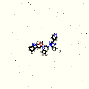 CC1=Nc2ccccc2C1CC(=O)N(CCn1nc(-c2ccncc2)nc1C)C1CCCC1